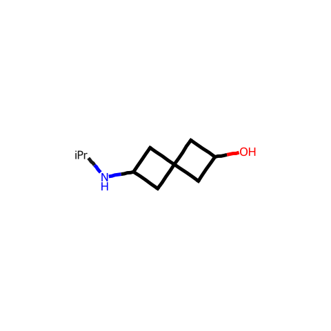 CC(C)NC1CC2(CC(O)C2)C1